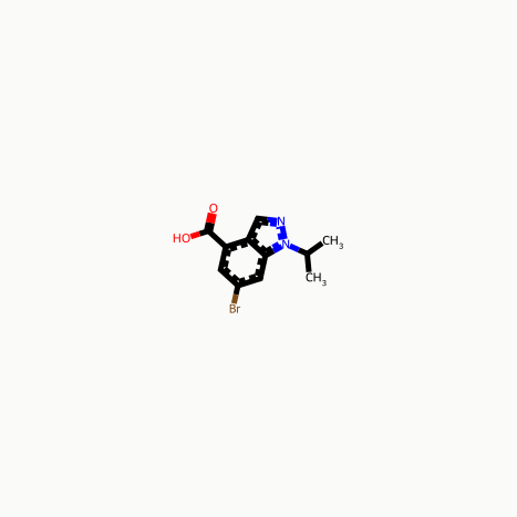 CC(C)n1ncc2c(C(=O)O)cc(Br)cc21